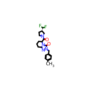 Cc1ccc(Cn2nc3n(c2=O)C(C(=O)N2CC[C@H](C(F)F)C2)CCC3)cc1